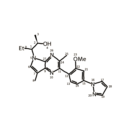 CCC([C@@H](C)O)n1cc(C)c2nc(-c3ccc(-n4cccn4)cc3OC)c(C)nc21